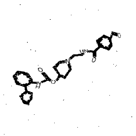 O=Cc1ccc(C(=O)NCCN2CCC(OC(=O)Nc3ccccc3-c3ccccc3)CC2)cc1